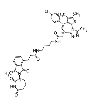 C=C1c2cccc(CCC(=O)NCCCCNC(=O)C[C@@H]3N=C(c4ccc(Cl)cc4)c4c(sc(C)c4C)-n4c(C)nnc43)c2C(=O)N1[C@H]1CCCC(=O)NC1=O